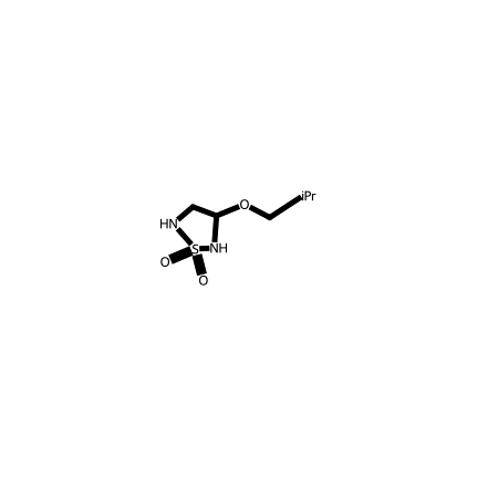 CC(C)COC1CNS(=O)(=O)N1